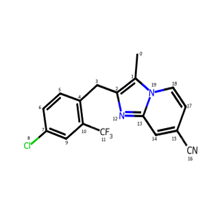 Cc1c(Cc2ccc(Cl)cc2C(F)(F)F)nc2cc(C#N)ccn12